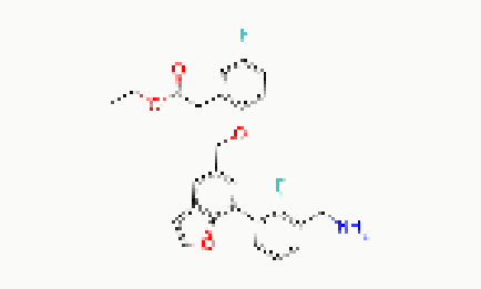 CCOC(=O)Cc1cc(F)ccc1OCc1cc(-c2cccc(CN)c2F)c2occc2c1